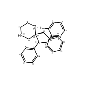 Ic1cccnc1S[C@@H](c1ccccc1)[C@]1(Cc2ccccc2)CNCCO1